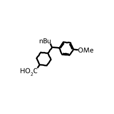 CCCCC(c1ccc(OC)cc1)C1CCC(C(=O)O)CC1